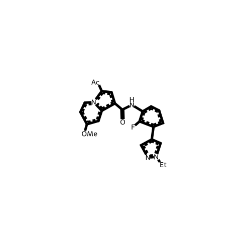 CCn1cc(-c2cccc(NC(=O)c3cc(C(C)=O)n4ccc(OC)cc34)c2F)cn1